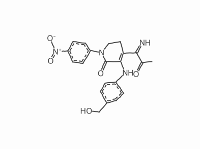 CC(=O)C(=N)C1=C(Nc2ccc(CO)cc2)C(=O)N(c2ccc([N+](=O)[O-])cc2)CC1